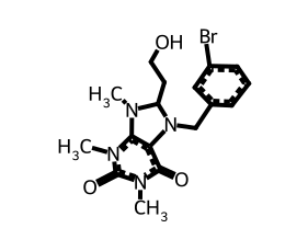 CN1c2c(c(=O)n(C)c(=O)n2C)N(Cc2cccc(Br)c2)C1CCO